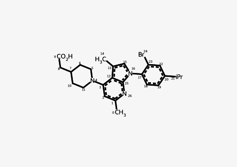 Cc1cc(N2CCC(CC(=O)O)CC2)c2c(C)cn(-c3ccc(C(C)C)cc3Br)c2n1